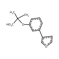 CC(C)(Oc1cccc(-c2ccoc2)c1)C(=O)O